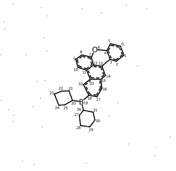 c1ccc2c(c1)Oc1cccc3c1c-2cc1ccc(B(C2CCCCC2)C2CCCCC2)cc13